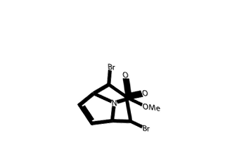 COC(=O)N1C2C=CC1C(Br)C(=O)C2Br